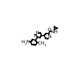 Cc1ccc(N)cc1-c1cc(-c2ccnc(C(=O)NC3CC3)c2)cnn1